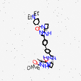 CCN(CC)[C@H]1CC[C@@H](C(=O)N2CCC[C@H]2c2ncc(-c3ccc(-c4ccc(-c5cnc([C@@H]6CCCN6C(=O)[C@H](C)NC(=O)OC)[nH]5)cc4)cc3)[nH]2)CC1